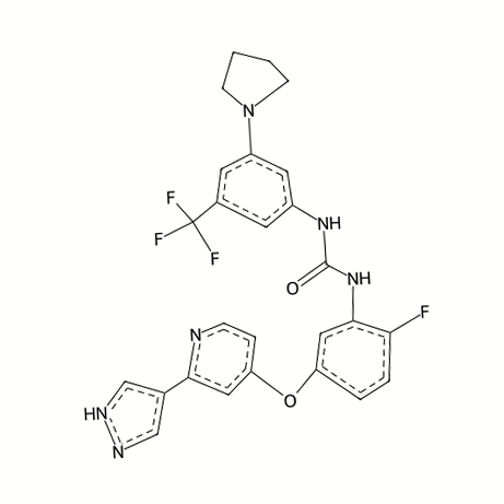 O=C(Nc1cc(N2CCCC2)cc(C(F)(F)F)c1)Nc1cc(Oc2ccnc(-c3cn[nH]c3)c2)ccc1F